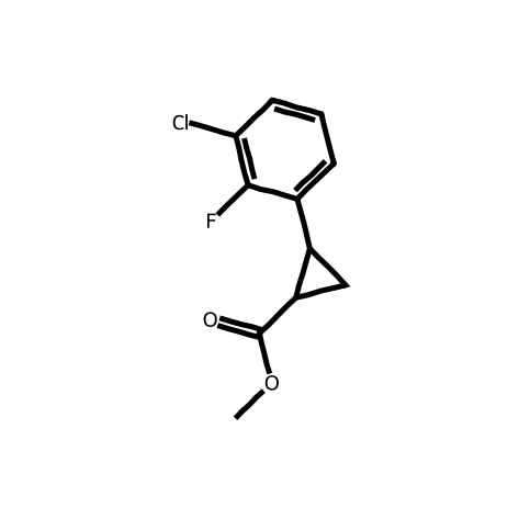 COC(=O)C1CC1c1cccc(Cl)c1F